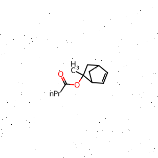 CCCC(=O)OC1(C)CC2C=CC1C2